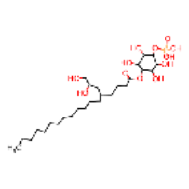 CCCCCCCCCCCCCC(CCCC(=O)OC1C(O)C(O)C(OP(=O)(O)O)C(O)C1O)CC(O)CO